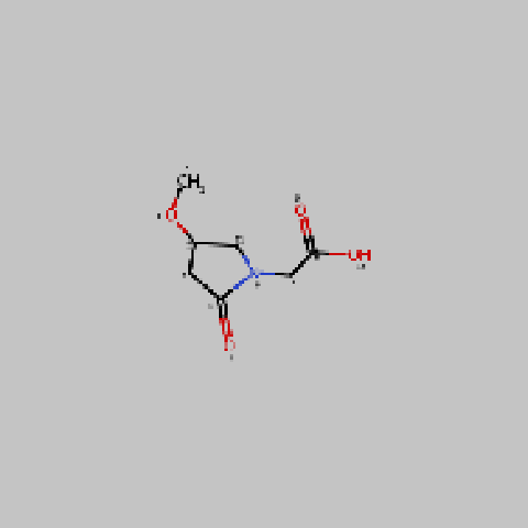 COC1CC(=O)N(CC(=O)O)C1